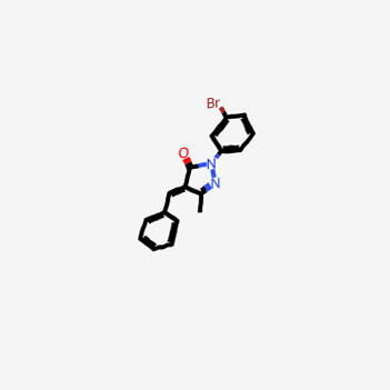 CC1=NN(c2cccc(Br)c2)C(=O)/C1=C/c1ccccc1